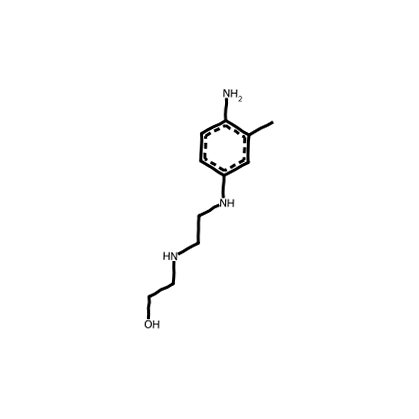 Cc1cc(NCCNCCO)ccc1N